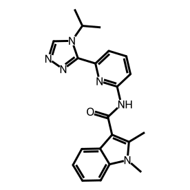 Cc1c(C(=O)Nc2cccc(-c3nncn3C(C)C)n2)c2ccccc2n1C